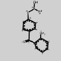 Nc1ccccc1C(=O)c1ccc(OB(O)O)cc1